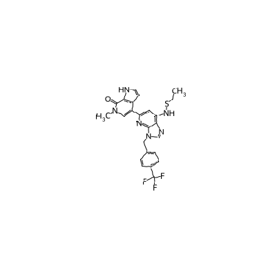 CCSNc1cc(-c2cn(C)c(=O)c3[nH]ccc23)nc2c1ncn2Cc1ccc(C(F)(F)F)cc1